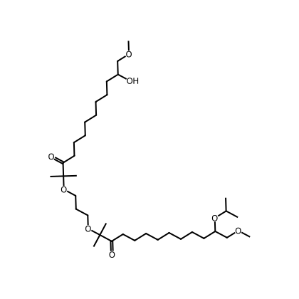 COCC(O)CCCCCCCCC(=O)C(C)(C)OCCCOC(C)(C)C(=O)CCCCCCCCC(COC)OC(C)C